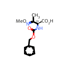 CON=C(C)[C@H](NC(=O)OCc1ccccc1)C(=O)O